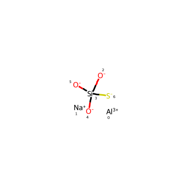 [Al+3].[Na+].[O-][Si]([O-])([O-])[S-]